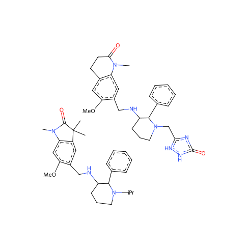 COc1cc2c(cc1CNC1CCCN(C(C)C)C1c1ccccc1)C(C)(C)C(=O)N2C.COc1cc2c(cc1CNC1CCCN(Cc3nc(=O)[nH][nH]3)C1c1ccccc1)N(C)C(=O)CC2